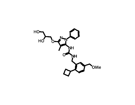 COCc1ccc(C2CCC2)c(CNC(=O)Nc2c(C)c(OCC(O)CO)nn2-c2ccccc2)c1